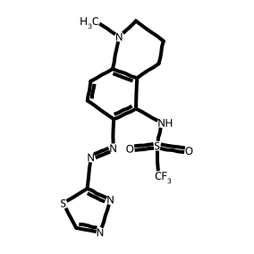 CN1CCCc2c1ccc(N=Nc1nncs1)c2NS(=O)(=O)C(F)(F)F